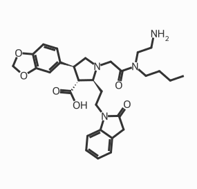 CCCCN(CCN)C(=O)CN1C[C@H](c2ccc3c(c2)OCO3)[C@@H](C(=O)O)[C@@H]1CCN1C(=O)Cc2ccccc21